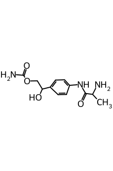 CC(N)C(=O)Nc1ccc(C(O)COC(N)=O)cc1